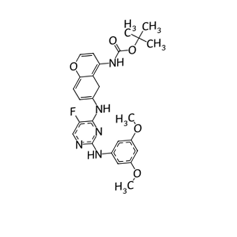 COc1cc(Nc2ncc(F)c(NC3=CC=C4OC=CC(NC(=O)OC(C)(C)C)=C4C3)n2)cc(OC)c1